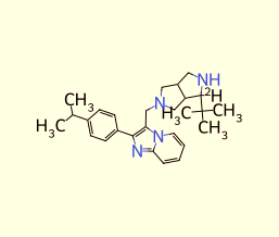 [2H]C1(C(C)(C)C)NCC2CN(Cc3c(-c4ccc(C(C)C)cc4)nc4ccccn34)CC21